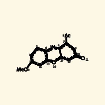 COc1ccc2nc3c(C(C)=O)cc(=O)cc-3oc2c1